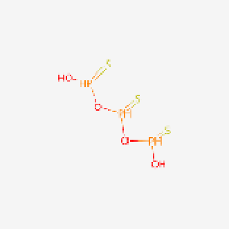 O[PH](=S)O[PH](=S)O[PH](O)=S